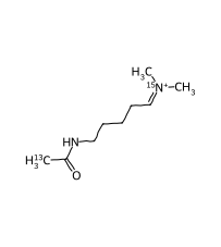 C[15N+](C)=CCCCCNC([13CH3])=O